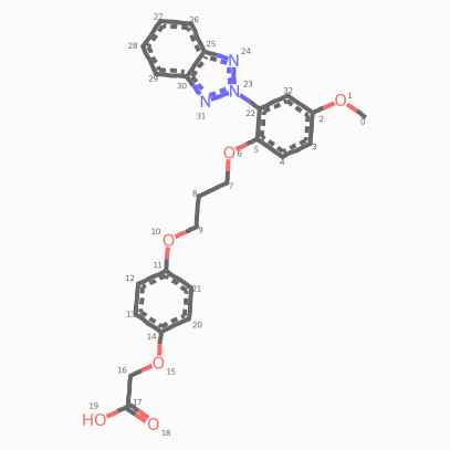 COc1ccc(OCCCOc2ccc(OCC(=O)O)cc2)c(-n2nc3ccccc3n2)c1